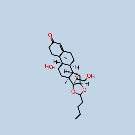 CCCCC1O[C@@H]2C[C@H]3[C@@H]4CCC5=CC(=O)CC[C@]5(C)[C@H]4[C@@H](O)C[C@]3(C)[C@]2(C(=O)CO)O1